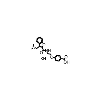 CN(C)Cc1c(C(=O)NCCOc2ccc(C(=O)O)cc2)oc2ccccc12.[KH]